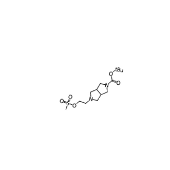 CC(C)(C)OC(=O)N1CC2CN(CCOS(C)(=O)=O)CC2C1